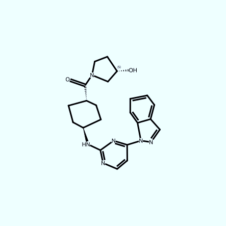 O=C([C@H]1CC[C@H](Nc2nccc(-n3ncc4ccccc43)n2)CC1)N1CC[C@H](O)C1